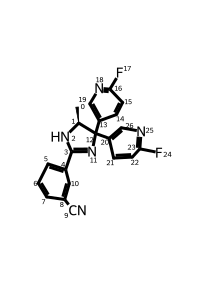 C[C@@H]1NC(c2cccc(C#N)c2)=NC1(c1ccc(F)nc1)c1ccc(F)nc1